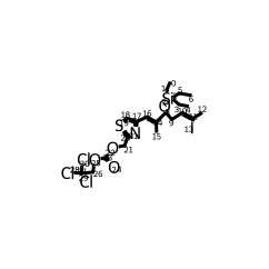 CC[Si](CC)(CC)OC(C/C=C(/C)I)/C(C)=C/c1csc(COC(=O)OCC(Cl)(Cl)Cl)n1